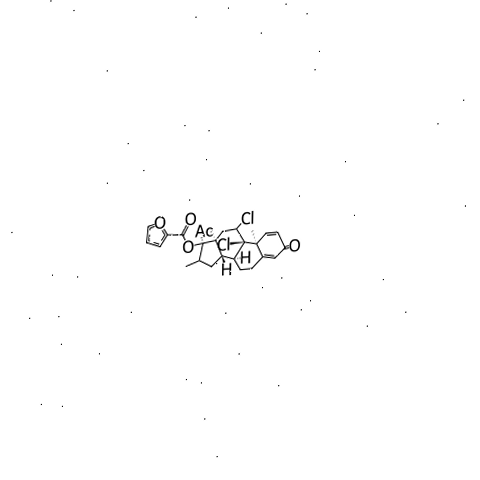 CC(=O)[C@@]1(OC(=O)c2ccco2)C(C)C[C@H]2[C@@H]3CCC4=CC(=O)C=C[C@]4(C)[C@@]3(Cl)C(Cl)C[C@@]21C